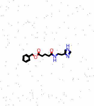 O=C(CCCC(=O)OCc1ccccc1)NCCc1c[nH]cn1